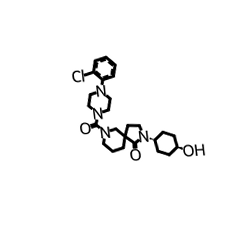 O=C(N1CCN(c2ccccc2Cl)CC1)N1CCCC2(CCN([C@H]3CC[C@H](O)CC3)C2=O)C1